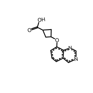 O=C(O)C1CC(Oc2cccc3cncnc23)C1